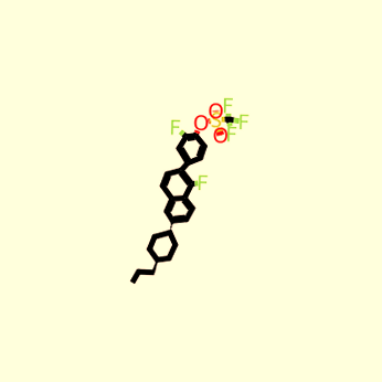 CCC[C@H]1CC[C@H](c2ccc3c(F)c(-c4ccc(OS(=O)(=O)C(F)(F)F)c(F)c4)ccc3c2)CC1